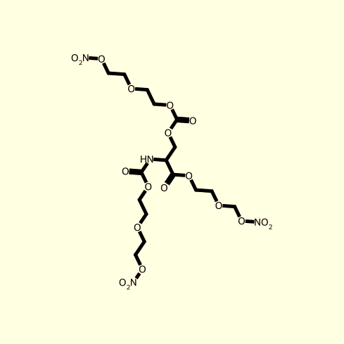 O=C(NC(COC(=O)OCCOCCO[N+](=O)[O-])C(=O)OCCOCO[N+](=O)[O-])OCCOCCO[N+](=O)[O-]